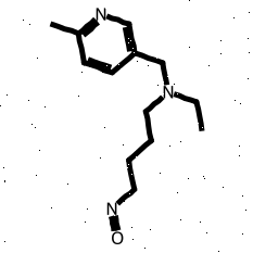 CCN(CCCCN=O)Cc1ccc(C)nc1